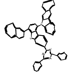 c1ccc(-c2nc(-c3ccccc3)nc(-c3ccc4c(c3)oc3c(-c5ccc6ccccc6c5)ccc(-n5c6ccccc6c6cc7ccccc7cc65)c34)n2)cc1